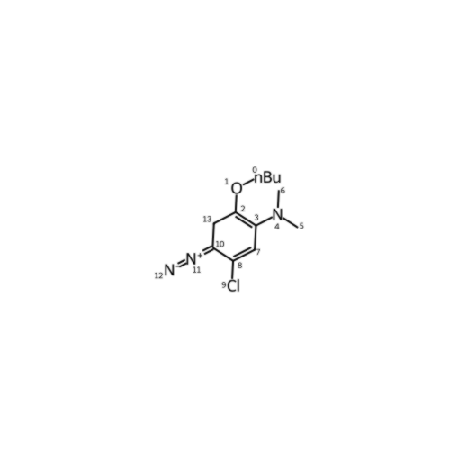 CCCCOC1=C(N(C)C)C=C(Cl)C(=[N+]=[N-])C1